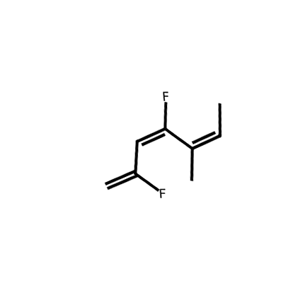 C=C(F)/C=C(F)\C(C)=C/C